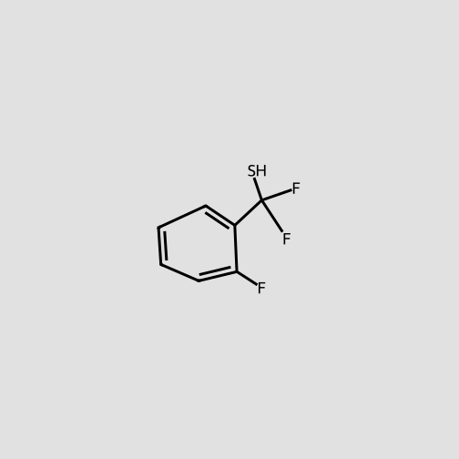 Fc1ccccc1C(F)(F)S